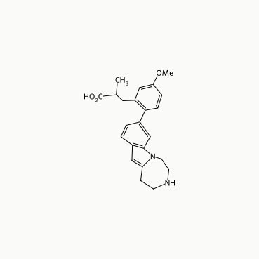 COc1ccc(-c2ccc3cc4n(c3c2)CCNCC4)c(CC(C)C(=O)O)c1